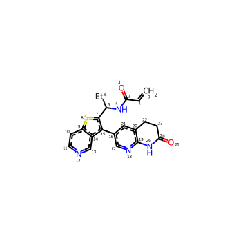 C=CC(=O)NC(CC)c1sc2ccncc2c1-c1cnc2c(c1)CCC(=O)N2